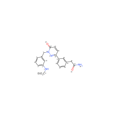 CCOC(=O)Nc1cccc(Cn2nc(-c3cccc(CC(N)=O)c3)ccc2=O)c1